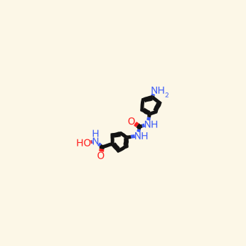 Nc1ccc(NC(=O)Nc2ccc(C(=O)NO)cc2)cc1